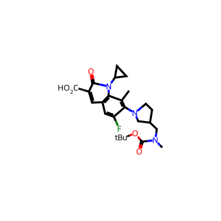 Cc1c(N2CCC(CN(C)C(=O)OC(C)(C)C)C2)c(F)cc2cc(C(=O)O)c(=O)n(C3CC3)c12